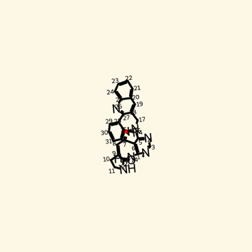 Nc1ncnc2c1c(/C=C1/CCNC1=O)nn2Cc1cc2ccccc2nc1-c1ccccc1F